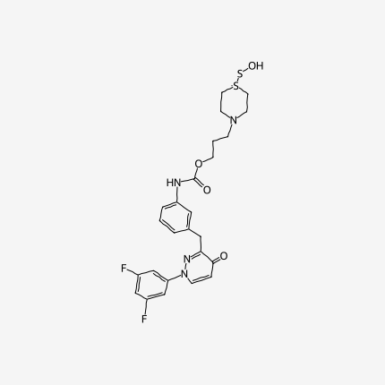 O=C(Nc1cccc(Cc2nn(-c3cc(F)cc(F)c3)ccc2=O)c1)OCCCN1CC[S](SO)CC1